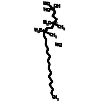 CCCCCCCCCCCCCCCC[N+](C)(C)CC[N+](C)(C)CCC[Si](O)(O)O.Cl